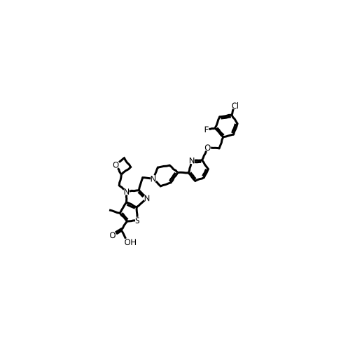 Cc1c(C(=O)O)sc2nc(CN3CC=C(c4cccc(OCc5ccc(Cl)cc5F)n4)CC3)n(CC3CCO3)c12